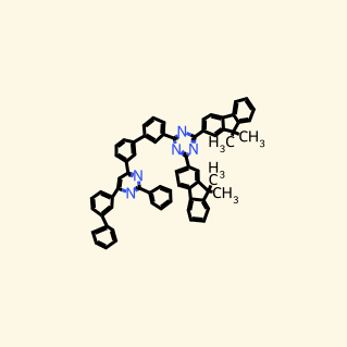 CC1(C)c2ccccc2-c2ccc(-c3nc(-c4cccc(-c5cccc(-c6cc(-c7cccc(-c8ccccc8)c7)nc(-c7ccccc7)n6)c5)c4)nc(-c4ccc5c(c4)C(C)(C)c4ccccc4-5)n3)cc21